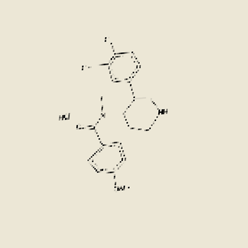 COc1ccc(C(=O)N(C)C2CCNCC2c2ccc(Cl)c(Cl)c2)cc1.Cl